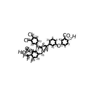 O=C(O)c1cccc(Oc2cccc(-c3nn(Cc4ccc(C(F)(F)P(=O)(O)O)c(F)c4)c(=Nc4ccc(Cl)c(Cl)c4)s3)c2)c1